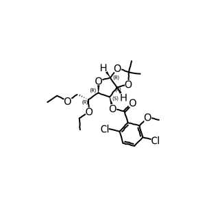 CCOC[C@@H](OCC)[C@H]1O[C@@H]2OC(C)(C)O[C@@H]2[C@H]1OC(=O)c1c(Cl)ccc(Cl)c1OC